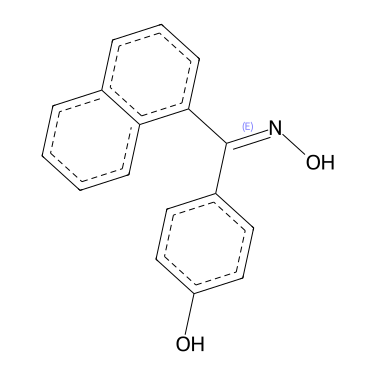 O/N=C(\c1ccc(O)cc1)c1cccc2ccccc12